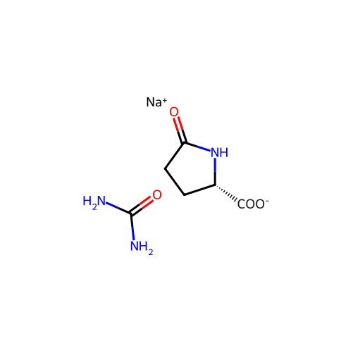 NC(N)=O.O=C1CC[C@@H](C(=O)[O-])N1.[Na+]